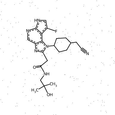 CC(C)(O)CNC(=O)Cc1nc2cnc3[nH]cc(F)c3c2n1C1CCC(CC#N)CC1